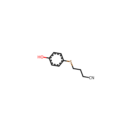 N#CCCCSc1ccc(O)cc1